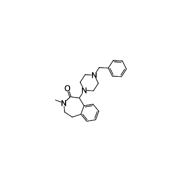 CN1CCc2ccccc2C(N2CCN(Cc3ccccc3)CC2)C1=O